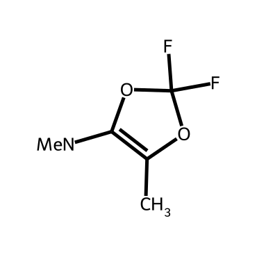 CNC1=C(C)OC(F)(F)O1